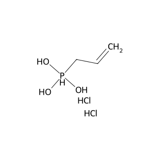 C=CC[PH](O)(O)O.Cl.Cl